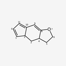 C1=CC2CC3CCOC3=CC2=C1